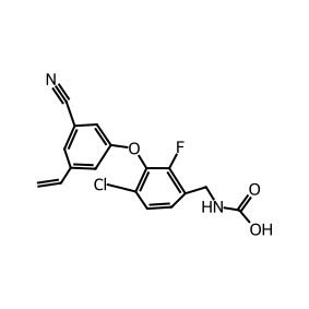 C=Cc1cc(C#N)cc(Oc2c(Cl)ccc(CNC(=O)O)c2F)c1